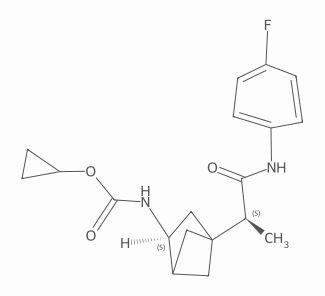 C[C@H](C(=O)Nc1ccc(F)cc1)C12CC(C1)[C@@H](NC(=O)OC1CC1)C2